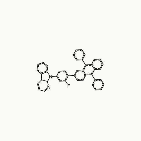 Fc1cc(N2c3ccccc3C3C=CC=NC32)ccc1-c1ccc2c(-c3ccccc3)c3ccccc3c(-c3ccccc3)c2c1